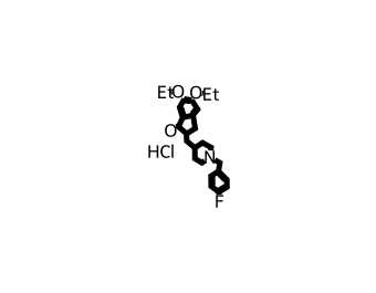 CCOc1cc2c(cc1OCC)C(=O)C(CC1CCN(Cc3ccc(F)cc3)CC1)C2.Cl